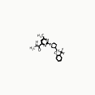 CNC(=O)c1cc(C)nc(N2CCC(COc3ccccc3C(F)(F)F)C2)n1